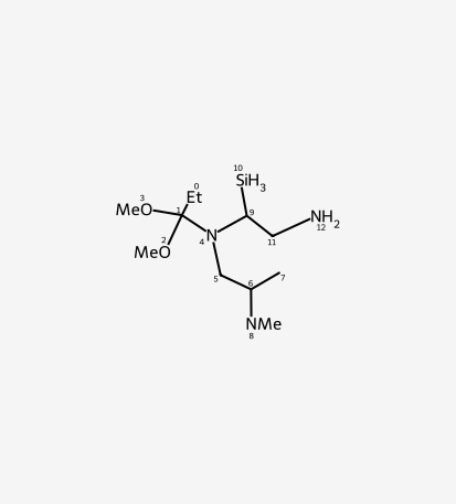 CCC(OC)(OC)N(CC(C)NC)C([SiH3])CN